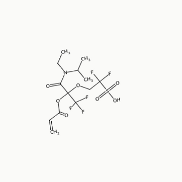 C=CC(=O)OC(OCC(F)(F)S(=O)(=O)O)(C(=O)N(CC)C(C)C)C(F)(F)F